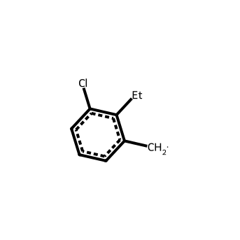 [CH2]c1cccc(Cl)c1CC